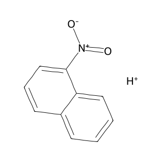 O=[N+]([O-])c1cccc2ccccc12.[H+]